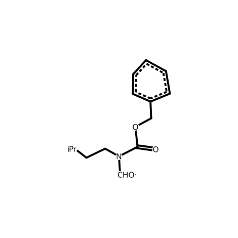 CC(C)CCN([C]=O)C(=O)OCc1ccccc1